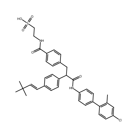 Cc1cc(Cl)ccc1-c1ccc(NC(=O)C(Cc2ccc(C(=O)NCCS(=O)(=O)O)cc2)c2ccc(C=CC(C)(C)C)cc2)cc1